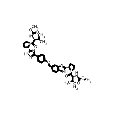 COC(=O)N[C@H](C(=O)N1CCC[C@H]1c1nc(-c2ccc(OCc3ccc4[nH]c([C@@H]5CCCN5C(=O)[C@@H](NC(=O)OC)C(C)C)nc4c3)cc2)n[nH]1)C(C)C